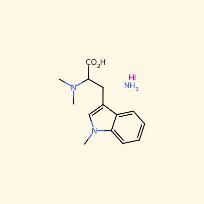 CN(C)C(Cc1cn(C)c2ccccc12)C(=O)O.I.N